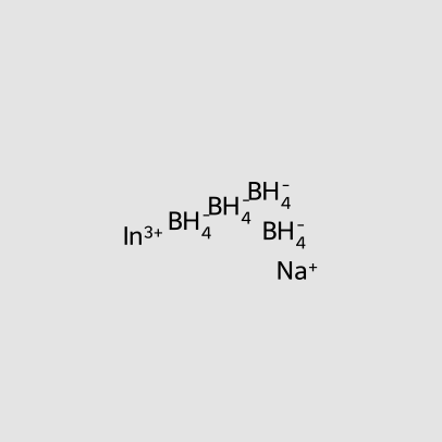 [BH4-].[BH4-].[BH4-].[BH4-].[In+3].[Na+]